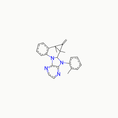 C=C1C2(C)c3ccccc3N3c4nccnc4N(c4ccccc4C)C3C12C